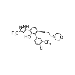 Oc1c(-c2cc(C(F)(F)F)n[nH]2)ccc(C#CCCN2CCOCC2)c1-c1ccc(Cl)c(C(F)(F)F)c1